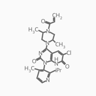 C=CC(=O)N1CC(C)N(c2nc(=O)n(-c3c(C)ccnc3C(C)C)c3[nH]c(=O)c(Cl)cc23)CC1C